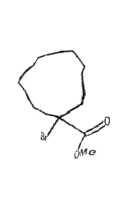 COC(=O)C1(Br)CCCCCC1